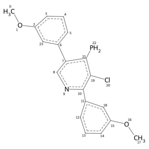 COc1cccc(-c2cnc(-c3cccc(OC)c3)c(Cl)c2P)c1